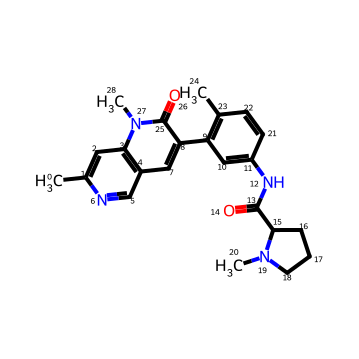 Cc1cc2c(cn1)cc(-c1cc(NC(=O)C3CCCN3C)ccc1C)c(=O)n2C